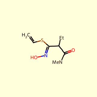 C=CSC(=NO)C(CC)C(=O)NC